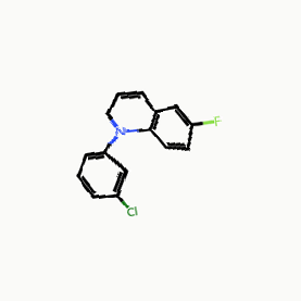 Fc1ccc2c(c1)C=CCN2c1cccc(Cl)c1